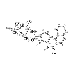 CN(C(=O)c1ccc2ccccc2c1)c1cccc(C(=O)Nc2c(Br)cc(C(F)(C(F)(F)F)C(F)(F)F)cc2C(F)(F)F)c1F